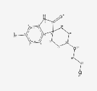 O=C1Nc2cc(Br)ccc2C12CCC(OCCCl)CC2